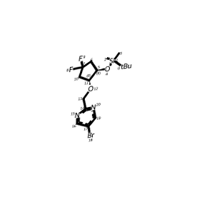 CC(C)(C)[Si](C)(C)O[C@@H]1CC(F)(F)C[C@H]1OCc1ncc(Br)cn1